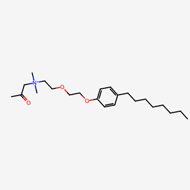 CCCCCCCCc1ccc(OCCOCC[N+](C)(C)CC(C)=O)cc1